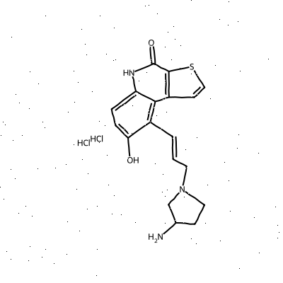 Cl.Cl.NC1CCN(CC=Cc2c(O)ccc3[nH]c(=O)c4sccc4c23)C1